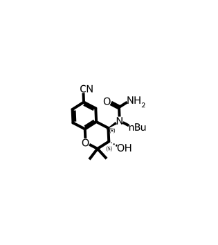 CCCCN(C(N)=O)[C@@H]1c2cc(C#N)ccc2OC(C)(C)[C@H]1O